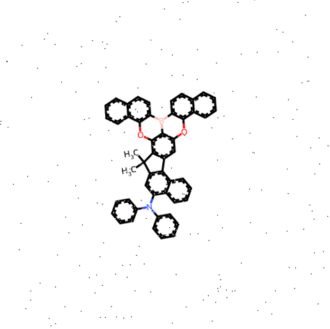 CC1(C)c2cc(N(c3ccccc3)c3ccccc3)c3ccccc3c2-c2cc3c4c(c21)Oc1c(ccc2ccccc12)B4c1ccc2ccccc2c1O3